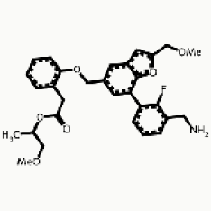 COCc1cc2cc(COc3ccccc3CC(=O)OC(C)COC)cc(-c3cccc(CN)c3F)c2o1